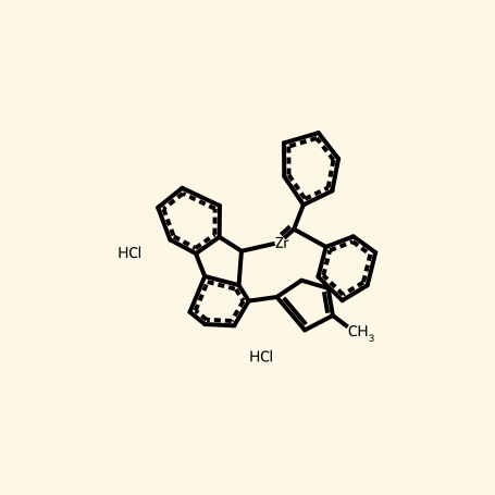 CC1=CCC(c2cccc3c2[CH]([Zr]=[C](c2ccccc2)c2ccccc2)c2ccccc2-3)=C1.Cl.Cl